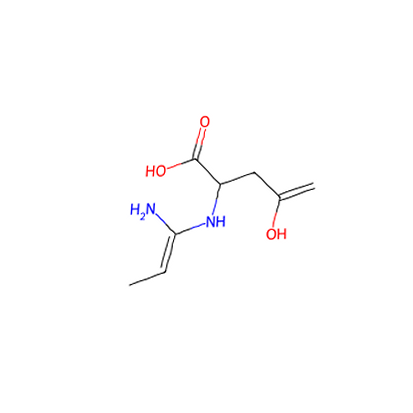 C=C(O)CC(NC(N)=CC)C(=O)O